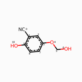 N#Cc1cc(OCO)ccc1O